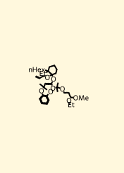 C=CCOC1(OC(=CC(C)(C)Oc2ccccc2[O])OC(C)(C)OCCC(OC)OCC)CCCCC1(CC)CCCCCC